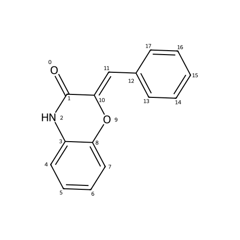 O=C1Nc2ccccc2OC1=Cc1ccccc1